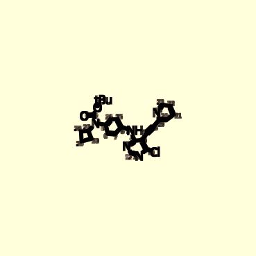 CC(C)(C)OC(=O)N(c1ccc(Nc2ncnc(Cl)c2C#Cc2ccccn2)cc1)C1CCC1